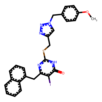 COc1ccc(Cn2cc(CSc3nc(Cc4cccc5ccccc45)c(I)c(=O)[nH]3)nn2)cc1